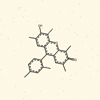 Cc1ccc(-c2c3cc(C)c(=O)c(C)c-3oc3c(C)c(O)c(C)cc23)c(C)c1